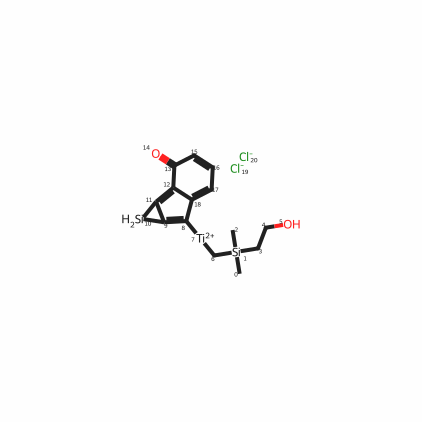 C[Si](C)(CCO)[CH2][Ti+2][C]1=C2[SiH2]C2=C2C(=O)C=CC=C12.[Cl-].[Cl-]